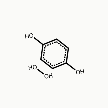 OO.Oc1ccc(O)cc1